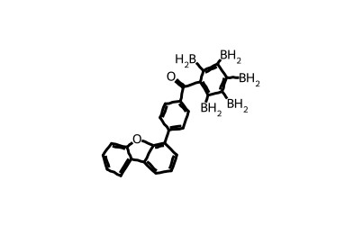 Bc1c(B)c(B)c(C(=O)c2ccc(-c3cccc4c3oc3ccccc34)cc2)c(B)c1B